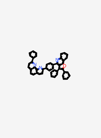 c1ccc(-c2ccc3ccc4ccc(-c5ccc(-c6nc7ccccc7c7oc(-c8ccccc8)c(-c8ccccc8)c67)cc5)nc4c3n2)cc1